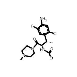 CCC(=O)N[C@@H](C(=O)N1CCN(C)CC1)[C@@H](C)c1cc(F)c(N)cc1Cl